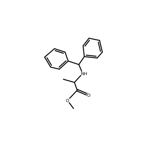 COC(=O)C(C)NC(c1ccccc1)c1ccccc1